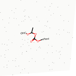 CCCCCOC(=O)OC(C)O[C]=O